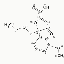 CCOCC1(c2cccc(OC)c2)OC(C(=O)O)=CC1=O